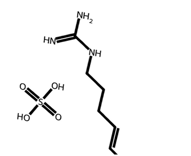 CC=CCCCNC(=N)N.O=S(=O)(O)O